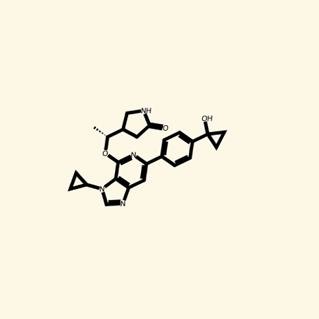 C[C@@H](Oc1nc(-c2ccc(C3(O)CC3)cc2)cc2ncn(C3CC3)c12)C1CNC(=O)C1